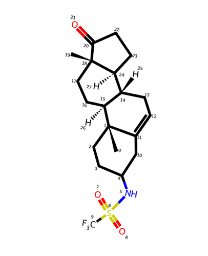 C[C@]12CCC(NS(=O)(=O)C(F)(F)F)CC1=CC[C@@H]1[C@@H]2CC[C@]2(C)C(=O)CC[C@@H]12